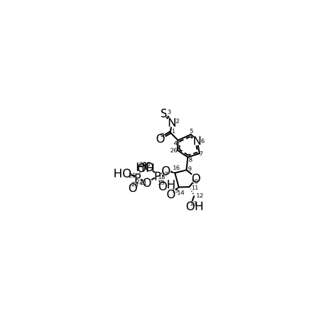 O=C(N=S)c1cncc(C2O[C@H](CO)[C@@H](O)[C@H]2OP(=O)(O)OP(=O)(O)O)c1